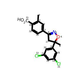 Cc1cc(C2=NOC(C)(c3cc(Cl)cc(Cl)c3)C2)ccc1C(=O)O